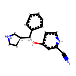 N#Cc1cc(O[C@@H](c2ccccc2)[C@H]2CCNC2)ccn1